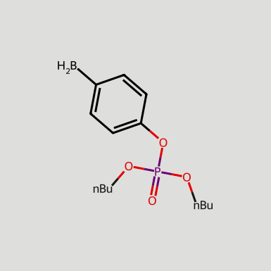 Bc1ccc(OP(=O)(OCCCC)OCCCC)cc1